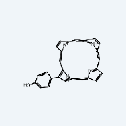 Oc1ccc(-c2cc3cc4nc(cc5ccc(cc6nc(cc2[nH]3)C=C6)[nH]5)C=C4)cc1